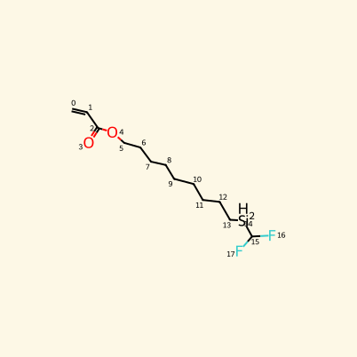 C=CC(=O)OCCCCCCCCC[SiH2]C(F)F